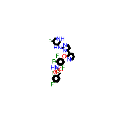 O=S(=O)(Cc1ccc(F)cc1F)Nc1c(F)cc(Oc2ncccc2-c2ccnc(N[C@@H]3CNC[C@@H](F)C3)n2)c(F)c1F